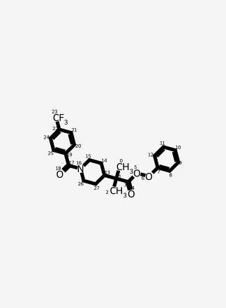 CC(C)(C(=O)OOc1ccccc1)C1CCN(C(=O)c2ccc(C(F)(F)F)cc2)CC1